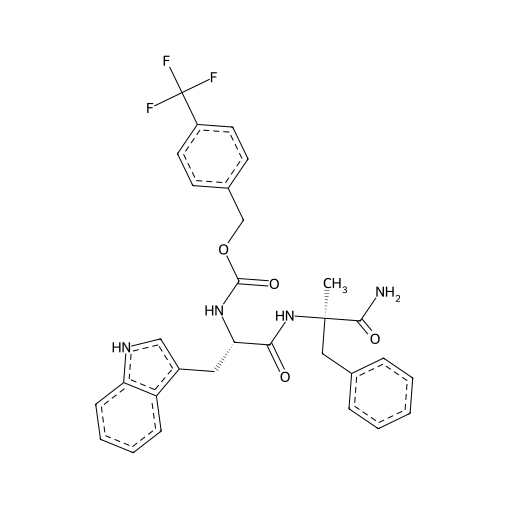 C[C@](Cc1ccccc1)(NC(=O)[C@H](Cc1c[nH]c2ccccc12)NC(=O)OCc1ccc(C(F)(F)F)cc1)C(N)=O